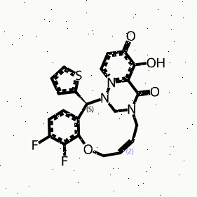 O=C1c2c(O)c(=O)ccn2N2CN1C/C=C\COc1c(ccc(F)c1F)[C@H]2c1cccs1